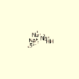 [HH].[Na+].[Na+].[Na+].[S-2]